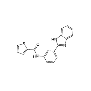 O=C(Nc1cccc(-c2nc3ccccc3[nH]2)c1)c1cccs1